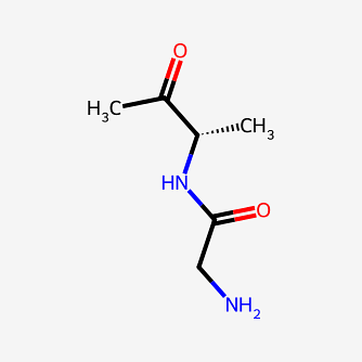 CC(=O)[C@H](C)NC(=O)CN